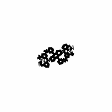 CC(C)(C)c1cc(N(c2ccc3c(-c4ccccc4)c4cc(N(c5cc(C(C)(C)C)cc(C(C)(C)C)c5)c5cccc6cncnc56)ccc4c(-c4ccccc4)c3c2)c2cccc3cncnc23)cc(C(C)(C)C)c1